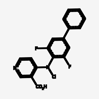 O=C(O)c1cnccc1N(Cl)c1c(F)cc(-c2ccccc2)cc1F